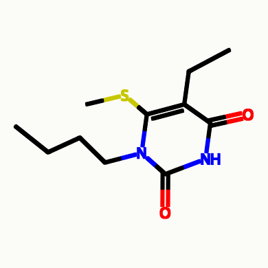 CCCCn1c(SC)c(CC)c(=O)[nH]c1=O